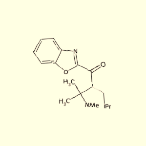 CNC(C)(C)[C@@H](CC(C)C)C(=O)c1nc2ccccc2o1